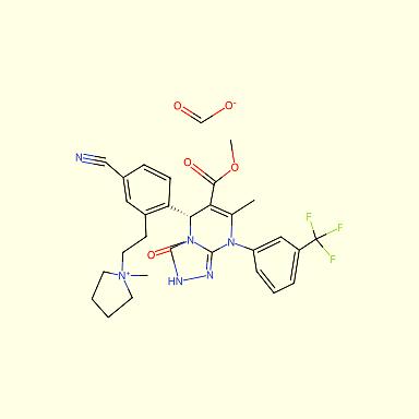 COC(=O)C1=C(C)N(c2cccc(C(F)(F)F)c2)c2n[nH]c(=O)n2[C@@H]1c1ccc(C#N)cc1CC[N+]1(C)CCCC1.O=C[O-]